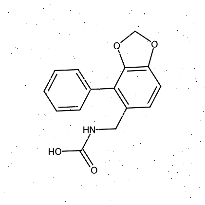 O=C(O)NCc1ccc2c(c1-c1ccccc1)OCO2